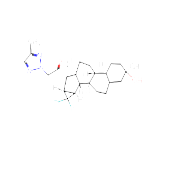 Cc1cnn(CC(=O)[C@H]2[C@@H]3[C@H]([C@H]4[C@@H]5CCC6C[C@](C)(O)CC[C@@H]6[C@H]5CC[C@@]42C)C3(F)F)n1